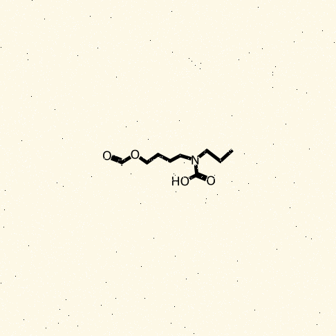 CCCN(CCCCO[C]=O)C(=O)O